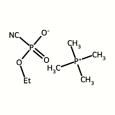 CCOP(=O)([O-])C#N.C[P+](C)(C)C